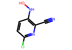 N#Cc1nc(Cl)ccc1NO